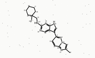 Cc1cn2nc(-c3c[nH]c4nc(NCC5(F)CCCCC5)ncc34)ccc2n1